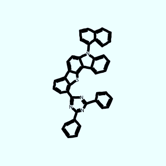 c1ccc(-c2nc(-c3ccccc3)nc(-c3cccc4c3sc3c4ccc4c3c3ccccc3n4-c3cccc4ccccc34)n2)cc1